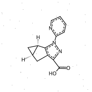 O=C(O)c1nn(-c2ccccn2)c2c1C[C@H]1C[C@@H]21